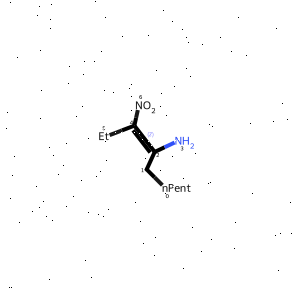 CCCCCC/C(N)=C(\CC)[N+](=O)[O-]